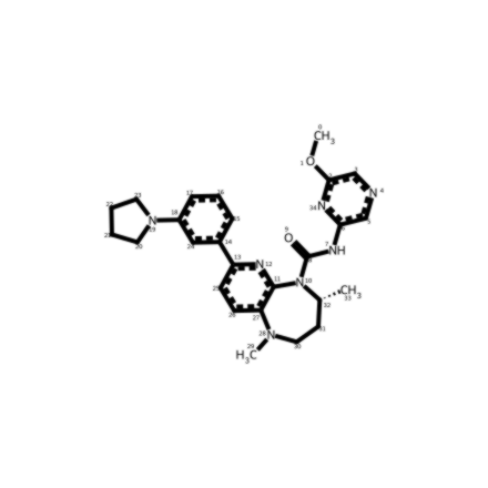 COc1cncc(NC(=O)N2c3nc(-c4cccc(N5CCCC5)c4)ccc3N(C)CC[C@H]2C)n1